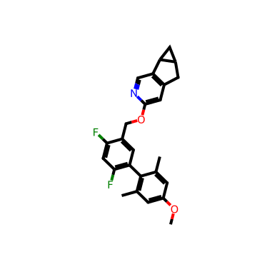 COc1cc(C)c(-c2cc(COc3cc4c(cn3)C3CC3C4)c(F)cc2F)c(C)c1